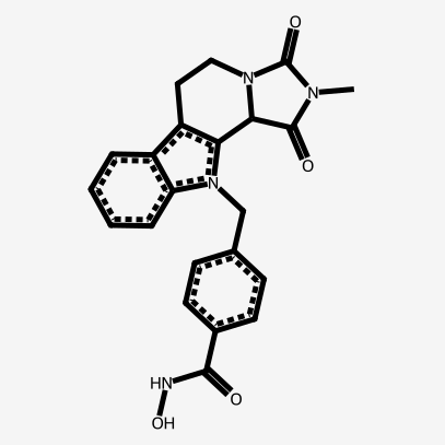 CN1C(=O)C2c3c(c4ccccc4n3Cc3ccc(C(=O)NO)cc3)CCN2C1=O